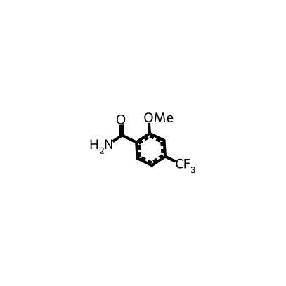 COc1cc(C(F)(F)F)ccc1C(N)=O